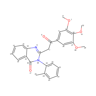 COc1cc(C(=O)Cc2nc3ccccc3c(=O)n2-c2ccccc2C)cc(OC)c1OC